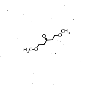 COCCC(=O)CCOC